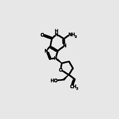 C=C[C@@]1(CO)CC[C@H](n2cnc3c(=O)[nH]c(N)nc32)O1